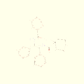 CC1(C(=O)NC([C](NC(=O)c2ccccc2)c2ccccc2)c2ccccc2)CCCCC1